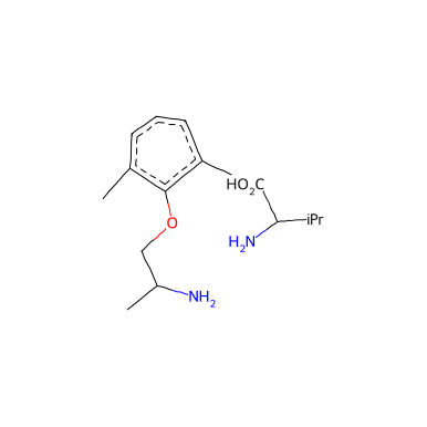 CC(C)C(N)C(=O)O.Cc1cccc(C)c1OCC(C)N